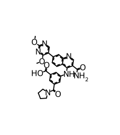 COc1ncc(-c2ccc3c(Nc4cc(C(=O)O)cc(C(=O)N5CCCC5)c4)c(C(N)=O)cnc3c2)c(OC)n1